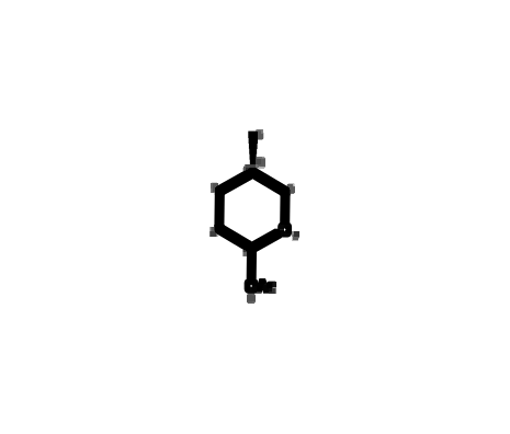 CC(=O)OC1CC[C@H](C)CO1